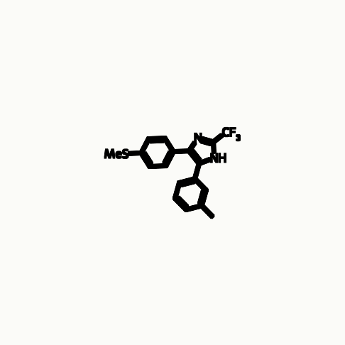 CSc1ccc(-c2nc(C(F)(F)F)[nH]c2-c2cccc(C)c2)cc1